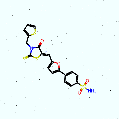 NS(=O)(=O)c1ccc(-c2ccc(/C=C3\SC(=S)N(Cc4cccs4)C3=O)o2)cc1